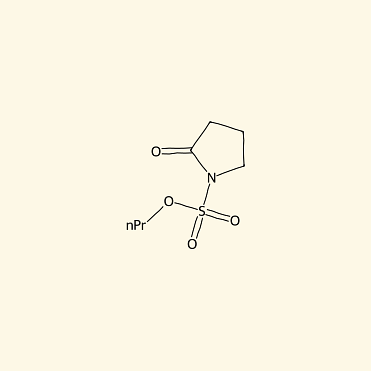 CCCOS(=O)(=O)N1CCCC1=O